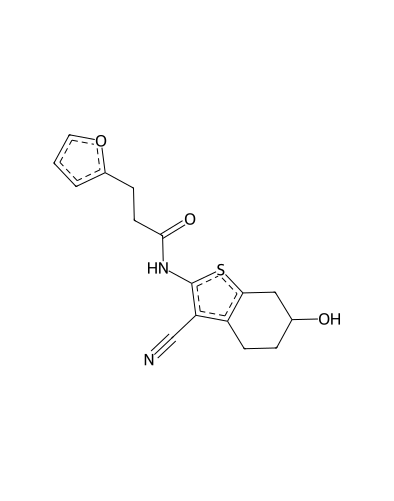 N#Cc1c(NC(=O)CCc2ccco2)sc2c1CCC(O)C2